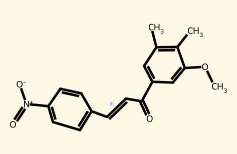 COc1cc(C(=O)/C=C/c2ccc([N+](=O)[O-])cc2)cc(C)c1C